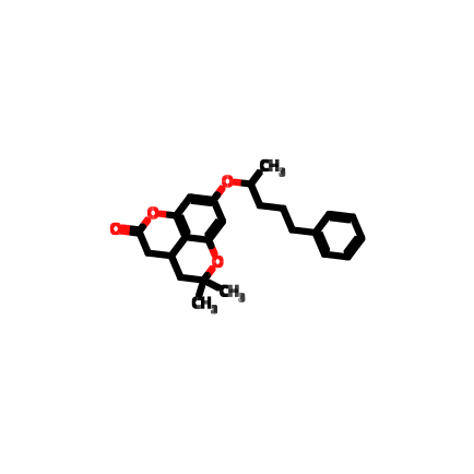 CC(CCCc1ccccc1)Oc1cc2c3c(c1)OC(C)(C)CC3CC(=O)O2